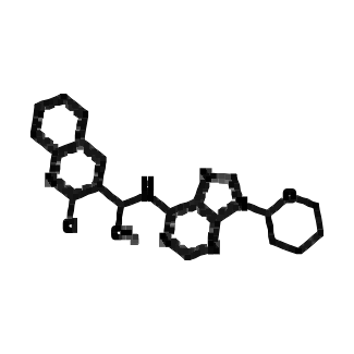 CC(Nc1ncnc2c1ncn2C1CCCCO1)c1cc2ccccc2nc1Cl